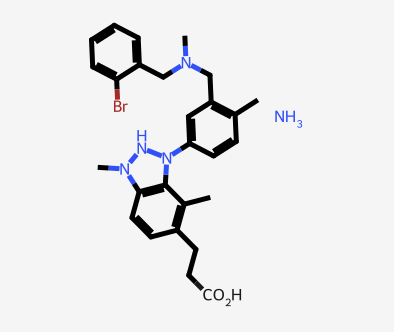 Cc1ccc(N2NN(C)c3ccc(CCC(=O)O)c(C)c32)cc1CN(C)Cc1ccccc1Br.N